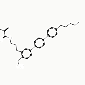 C=C(C)C(=O)OCCCc1cc(-c2ccc(-c3ccc(CCCCC)cc3)cc2)ccc1CO